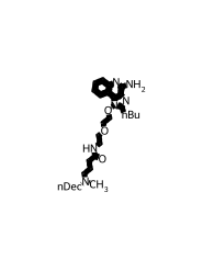 CCCCCCCCCCN(C)CCCC(=O)NCCOCCOn1c(CCCC)nc2c(N)nc3ccccc3c21